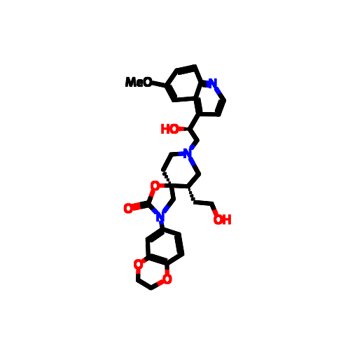 COc1ccc2nccc([C@H](O)CN3CC[C@@]4(CN(c5ccc6c(c5)OCCO6)C(=O)O4)[C@@H](CCO)C3)c2c1